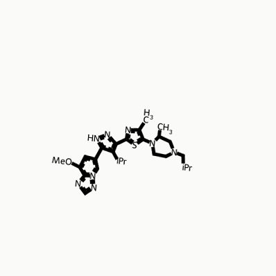 COc1cc(-c2[nH]nc(-c3nc(C)c(N4CCN(CC(C)C)CC4C)s3)c2C(C)C)cn2ncnc12